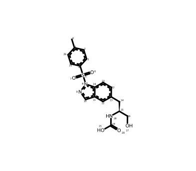 Cc1ccc(S(=O)(=O)n2ncc3cc(C[C@@H](CO)NC(=O)O)ccc32)cc1